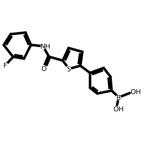 O=C(Nc1cccc(F)c1)c1ccc(-c2ccc(B(O)O)cc2)s1